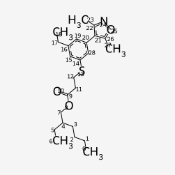 CCCCC(CC)COC(=O)CCSc1cc(CC)cc(-c2c(C)noc2C)c1